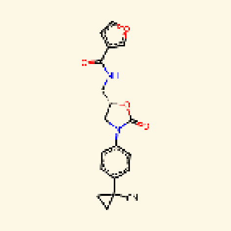 N#CC1(c2ccc(N3C[C@H](CNC(=O)c4ccoc4)OC3=O)cc2)CC1